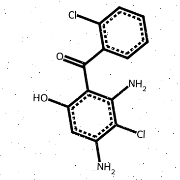 Nc1cc(O)c(C(=O)c2ccccc2Cl)c(N)c1Cl